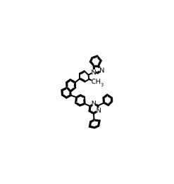 CC1C=C(c2ccc3cccc(-c4ccc(-c5cc(-c6ccccc6)nc(-c6ccccc6)n5)cc4)c3c2)C=CC1n1cnc2ccccc21